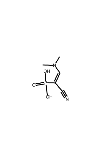 CN(C)C=C(C#N)P(=O)(O)O